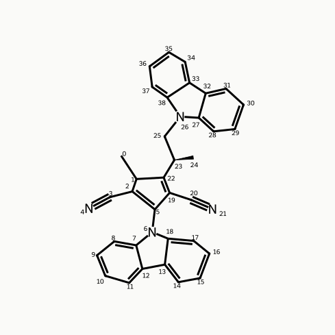 CC1C(C#N)=C(n2c3ccccc3c3ccccc32)C(C#N)=C1[C@H](C)Cn1c2ccccc2c2ccccc21